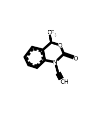 C#CN1C(=O)OC(C(F)(F)F)c2ccccc21